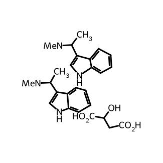 CNC(C)c1c[nH]c2ccccc12.CNC(C)c1c[nH]c2ccccc12.O=C(O)CC(O)C(=O)O